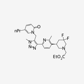 CCCc1ccc(=O)n(Cc2c(-c3ccc([C@@H]4CN(CC(=O)OCC)CC(F)(F)C4)c(C)n3)nnn2C)c1